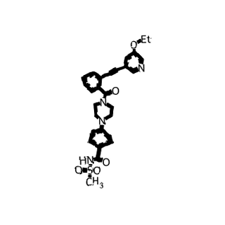 CCOc1cncc(C#Cc2ccccc2C(=O)N2CCN(c3ccc(C(=O)NS(C)(=O)=O)cc3)CC2)c1